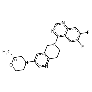 C[C@@H]1CN(c2cnc3c(c2)CN(c2ncnc4cc(F)c(F)cc24)CC3)CCO1